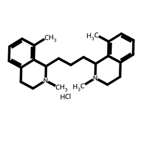 Cc1cccc2c1C(CCCC1c3c(C)cccc3CCN1C)N(C)CC2.Cl